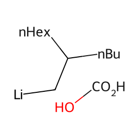 O=C(O)O.[Li][CH2]C(CCCC)CCCCCC